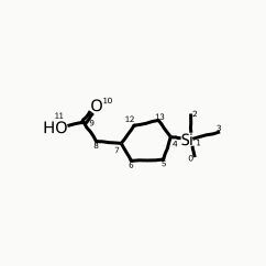 C[Si](C)(C)C1CCC(CC(=O)O)CC1